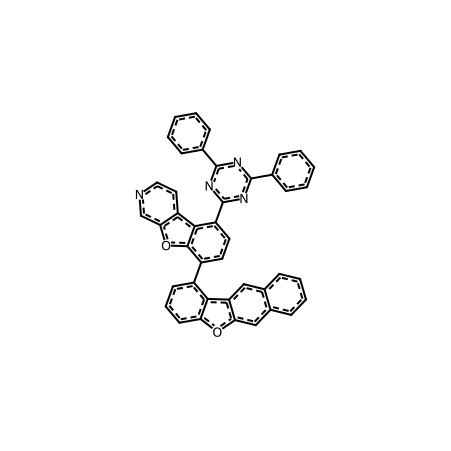 c1ccc(-c2nc(-c3ccccc3)nc(-c3ccc(-c4cccc5oc6cc7ccccc7cc6c45)c4oc5cnccc5c34)n2)cc1